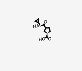 O=C([AsH]C1CC1)C1CCN(C(=O)O)C1